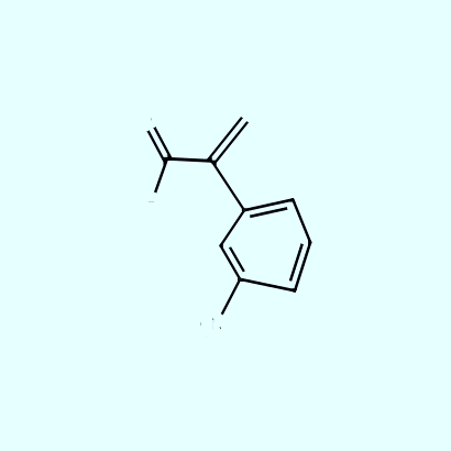 C=C(C(=O)F)c1cccc([N+](=O)[O-])c1